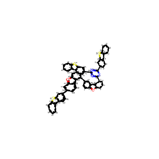 c1cc(-c2ccc3oc4cccc(-c5nc(-c6ccc7c(c6)sc6ccccc67)nc(-c6ccc7c(c6)sc6ccccc67)n5)c4c3c2)c2c(c1)oc1cc(-c3ccc4c(c3)sc3ccccc34)ccc12